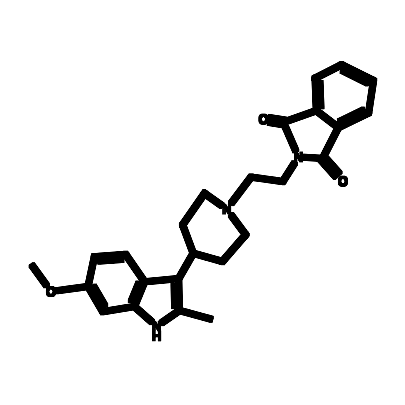 COc1ccc2c(C3CCN(CCN4C(=O)c5ccccc5C4=O)CC3)c(C)[nH]c2c1